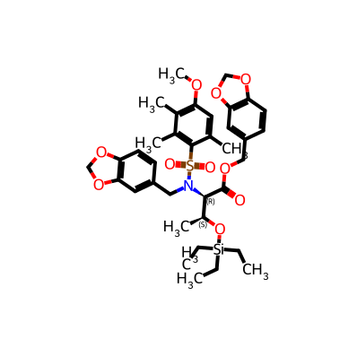 CC[Si](CC)(CC)O[C@@H](C)[C@H](C(=O)OCc1ccc2c(c1)OCO2)N(Cc1ccc2c(c1)OCO2)S(=O)(=O)c1c(C)cc(OC)c(C)c1C